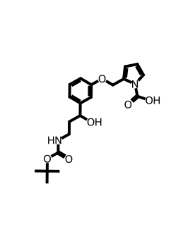 CC(C)(C)OC(=O)NCCC(O)c1cccc(OCc2cccn2C(=O)O)c1